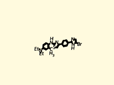 CCN(CC)c1ccc(Nc2nc(-c3ccc(-c4ncc(Br)[nH]4)cc3)cs2)c(C)c1